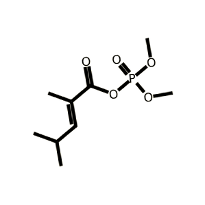 COP(=O)(OC)OC(=O)C(C)=CC(C)C